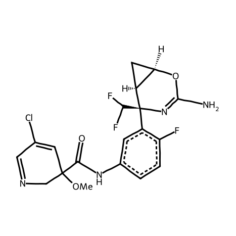 COC1(C(=O)Nc2ccc(F)c([C@@]3(C(F)F)N=C(N)O[C@@H]4C[C@@H]43)c2)C=C(Cl)C=NC1